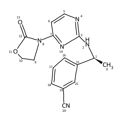 C[C@H](Nc1nccc(N2CCOC2=O)n1)c1cccc(C#N)c1